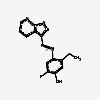 CCc1cc(O)c(F)cc1/N=N/c1snc2ncccc12